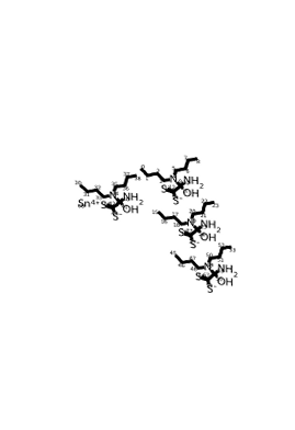 CCCCN(CCCC)C(N)(O)C(=S)[S-].CCCCN(CCCC)C(N)(O)C(=S)[S-].CCCCN(CCCC)C(N)(O)C(=S)[S-].CCCCN(CCCC)C(N)(O)C(=S)[S-].[Sn+4]